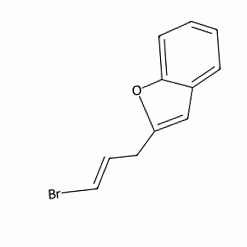 Br/C=C/Cc1cc2ccccc2o1